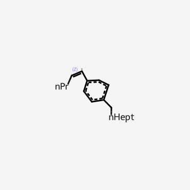 CCC/C=[C]\c1ccc(CCCCCCCC)cc1